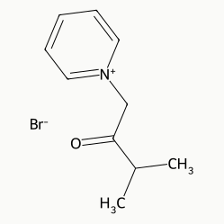 CC(C)C(=O)C[n+]1ccccc1.[Br-]